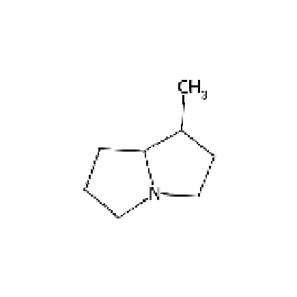 CC1CCN2CCCC12